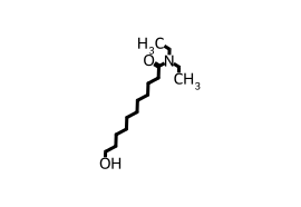 CCN(CC)C(=O)CCCCCCCCCCO